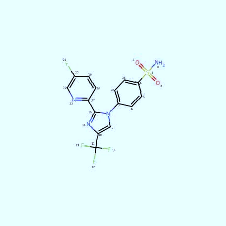 NS(=O)(=O)c1ccc(-n2cc(C(F)(F)F)nc2-c2ccc(F)cn2)cc1